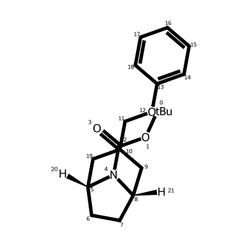 CC(C)(C)OC(=O)N1[C@@H]2CC[C@H]1CC(COc1ccccc1)C2